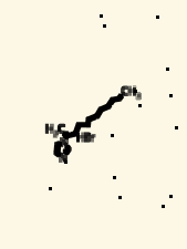 Br.C=C(CCCCCCCCCC)n1ccnc1